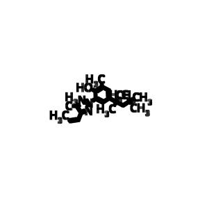 C/C=C\c1nn(-c2cc(C(C)(C)CC(C)(C)C)cc(C)c2O)nc1C